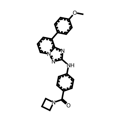 COc1ccc(-c2cccn3nc(Nc4ccc(C(=O)N5CCC5)cc4)nc23)cc1